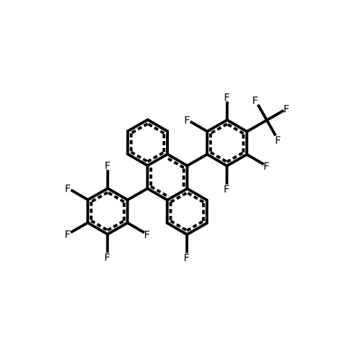 Fc1ccc2c(-c3c(F)c(F)c(C(F)(F)F)c(F)c3F)c3ccccc3c(-c3c(F)c(F)c(F)c(F)c3F)c2c1